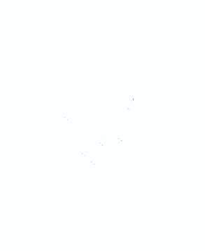 CN(C(=O)c1cc2c(n3cnnc13)NCc1c(F)ccc3c1[C@H](CO3)CO2)C1CCOCC1